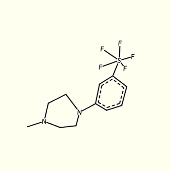 CN1CCN(c2cccc(S(F)(F)(F)(F)F)c2)CC1